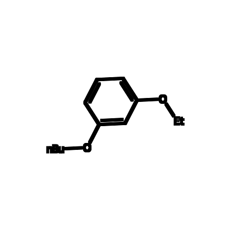 CCCCOc1cccc(OCC)c1